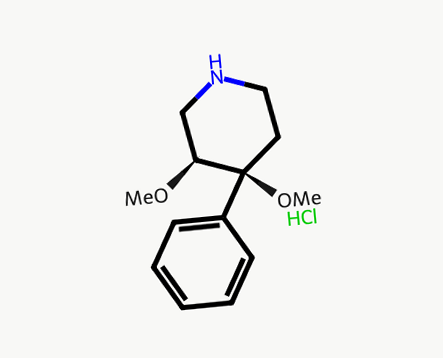 CO[C@H]1CNCC[C@]1(OC)c1ccccc1.Cl